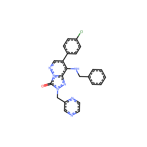 O=c1n(Cc2cnccn2)nc2c(NCc3ccccc3)c(-c3ccc(Cl)cc3)cnn12